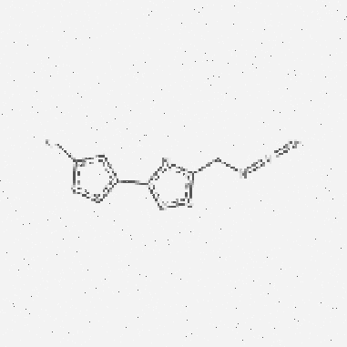 [N-]=[N+]=NCc1nc(-c2csc(Cl)c2)cs1